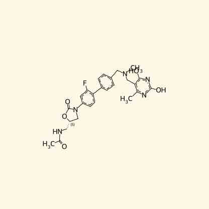 CC(=O)NC[C@H]1CN(c2ccc(-c3ccc(CN(C)Cc4c(C)nc(O)nc4O)cc3)c(F)c2)C(=O)O1